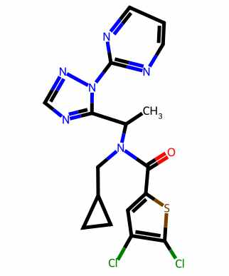 CC(c1ncnn1-c1ncccn1)N(CC1CC1)C(=O)c1cc(Cl)c(Cl)s1